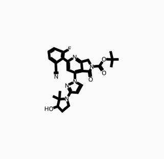 CC(C)(C)OC(=O)N1Cc2nc(-c3c(F)cccc3C#N)cc(-n3ccc(N4CCC(O)C4(C)C)n3)c2C1=O